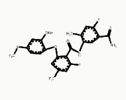 COc1cc(OC(F)(F)F)ccc1Oc1cc(C(F)(F)F)cc(F)c1C(=O)Nc1cc(C(N)=O)c(F)cc1C